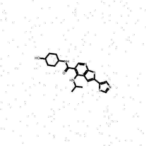 CC(C)Nc1c(C(=O)NC2CCC(O)CC2)cnc2sc(-c3cncs3)cc12